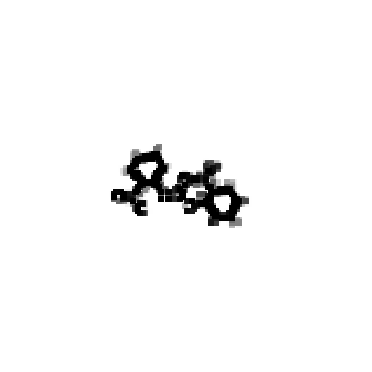 O=[N+]([O-])c1ccccc1OOOc1ccccc1[N+](=O)[O-]